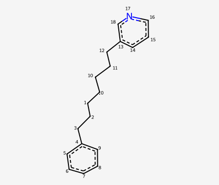 [CH](CCCc1ccccc1)CCCc1cccnc1